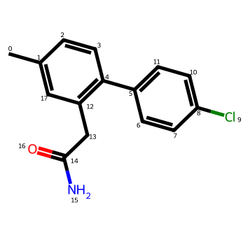 Cc1ccc(-c2ccc(Cl)cc2)c(CC(N)=O)c1